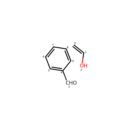 C=CO.O=Cc1ccccc1